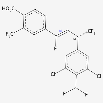 O=C(O)c1ccc(/C(F)=C/[C@@H](c2cc(Cl)c(C(F)F)c(Cl)c2)C(F)(F)F)cc1C(F)(F)F